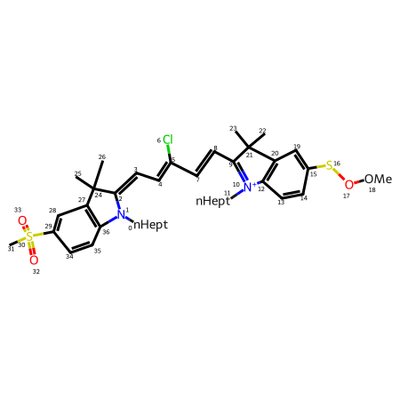 CCCCCCCN1C(=CC=C(Cl)C=CC2=[N+](CCCCCCC)c3ccc(SOOC)cc3C2(C)C)C(C)(C)c2cc(S(C)(=O)=O)ccc21